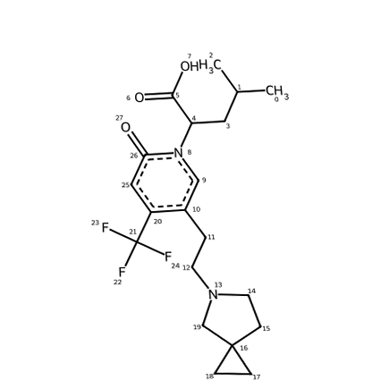 CC(C)CC(C(=O)O)n1cc(CCN2CCC3(CC3)C2)c(C(F)(F)F)cc1=O